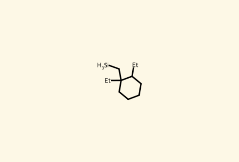 CCC1CCCCC1(CC)C[SiH3]